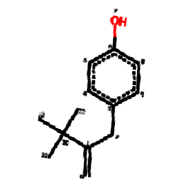 C=C(Cc1ccc(O)cc1)C(C)(C)C